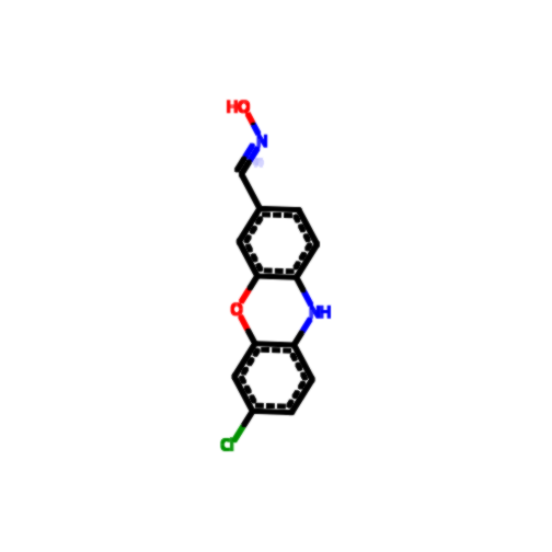 O/N=C/c1ccc2c(c1)Oc1cc(Cl)ccc1N2